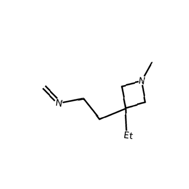 C=NCCC1(CC)CN(C)C1